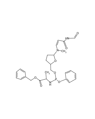 CC(NP(OCC1CCC(N(C)/C=C\C(=O)NC=O)O1)Oc1ccccc1)C(=O)OCc1ccccc1